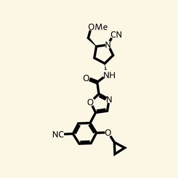 COC[C@@H]1C[C@@H](NC(=O)c2ncc(-c3cc(C#N)ccc3OC3CC3)o2)CN1C#N